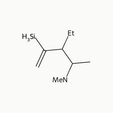 C=C([SiH3])C(CC)C(C)NC